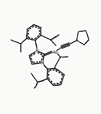 CC(C)c1cccc(C(C)C)c1-n1ccn(-c2c(C(C)C)cccc2C(C)C)[c]1=[Au][C]#CC1CCCC1